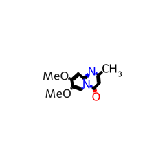 COc1cc2nc(C)cc(=O)n2cc1OC